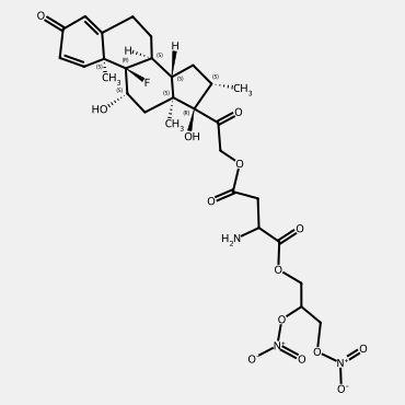 C[C@H]1C[C@H]2[C@@H]3CCC4=CC(=O)C=C[C@]4(C)[C@@]3(F)[C@@H](O)C[C@]2(C)[C@@]1(O)C(=O)COC(=O)CC(N)C(=O)OCC(CO[N+](=O)[O-])O[N+](=O)[O-]